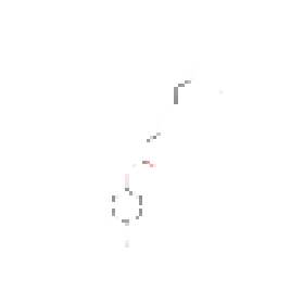 CC(C)=CCC/C(C)=C/C(=O)Oc1ccc(C(C)C)c(C)c1